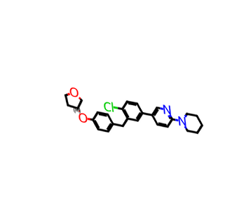 Clc1ccc(-c2ccc(N3CCCCC3)nc2)cc1Cc1ccc(O[C@@H]2CCOC2)cc1